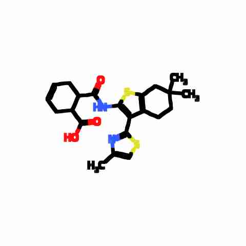 Cc1csc(-c2c(NC(=O)C3CC=CCC3C(=O)O)sc3c2CCC(C)(C)C3)n1